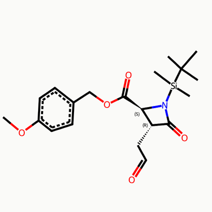 COc1ccc(COC(=O)[C@@H]2[C@@H](CC=O)C(=O)N2[Si](C)(C)C(C)(C)C)cc1